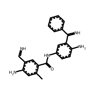 Cc1cc(N)c(C=N)cc1C(=O)Nc1ccc(N)c(C(=N)c2ccccc2)c1